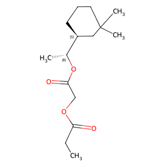 CCC(=O)OCC(=O)O[C@H](C)[C@H]1CCCC(C)(C)C1